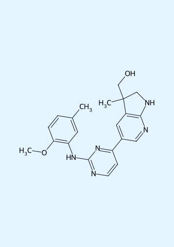 COc1ccc(C)cc1Nc1nccc(-c2cnc3c(c2)C(C)(CO)CN3)n1